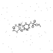 CS(=O)(=O)Cc1cnc(OC2CCOCC2)c(Br)c1